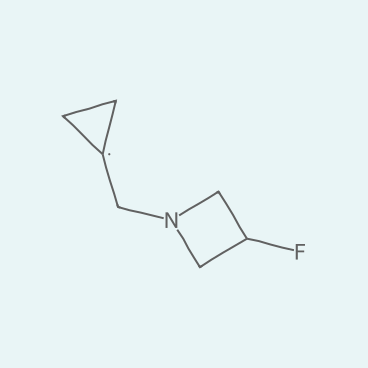 FC1CN(C[C]2CC2)C1